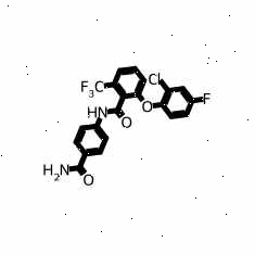 NC(=O)c1ccc(NC(=O)c2c(Oc3ccc(F)cc3Cl)cccc2C(F)(F)F)cc1